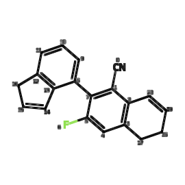 N#Cc1c2c(cc(F)c1-c1cccc3c1C=CC3)CCC=C2